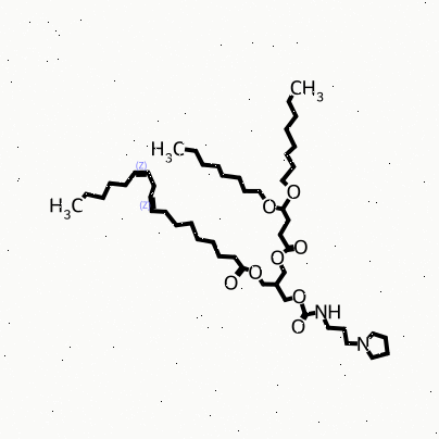 CCCCC/C=C\C/C=C\CCCCCCCC(=O)OCC(COC(=O)CCC(OCCCCCCCC)OCCCCCCCC)COC(=O)NCCCN1CCCC1